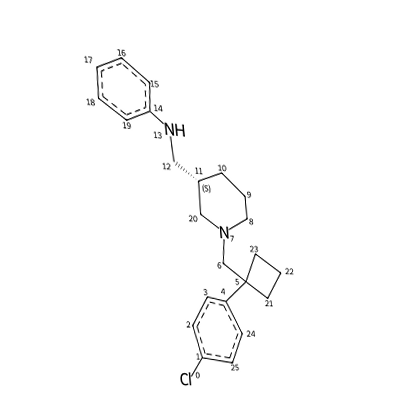 Clc1ccc(C2(CN3CCC[C@@H](CNc4ccccc4)C3)CCC2)cc1